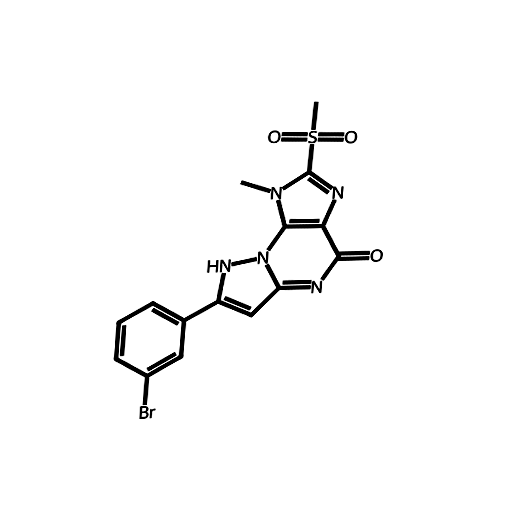 Cn1c(S(C)(=O)=O)nc2c(=O)nc3cc(-c4cccc(Br)c4)[nH]n3c21